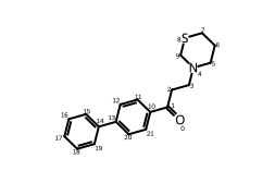 O=C(CCN1CCCSC1)c1ccc(-c2ccccc2)cc1